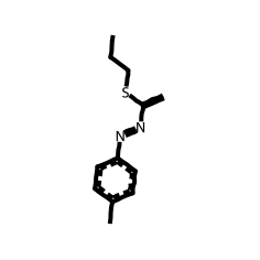 C=C(/N=N/c1ccc(C)cc1)SCCC